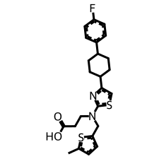 Cc1ccc(CN(CCC(=O)O)c2nc(C3CCC(c4ccc(F)cc4)CC3)cs2)s1